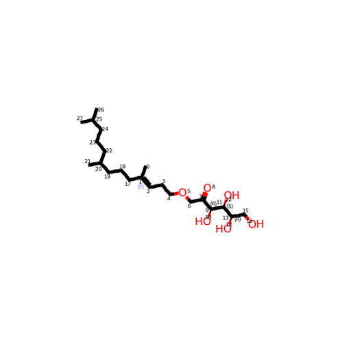 C/C(=C\CCOCC(=O)[C@H](O)[C@@H](O)[C@H](O)CO)CCCC(C)CCCC(C)C